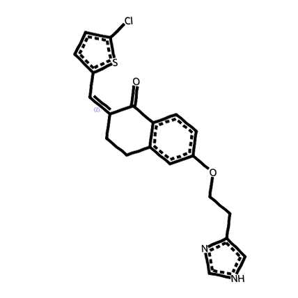 O=C1/C(=C\c2ccc(Cl)s2)CCc2cc(OCCc3c[nH]cn3)ccc21